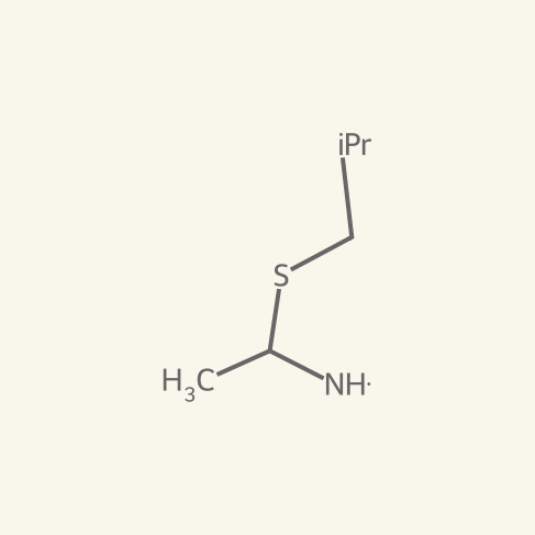 CC(C)CSC(C)[NH]